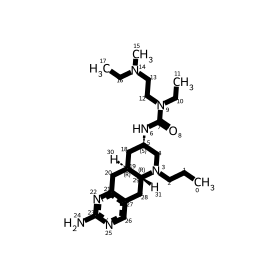 CCCN1C[C@@H](NC(=O)N(CC)CCN(C)CC)C[C@@H]2Cc3nc(N)ncc3C[C@H]21